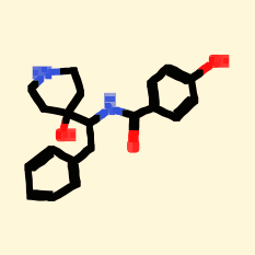 O=C(NC(Cc1ccccc1)C1(O)CCNCC1)c1ccc(O)cc1